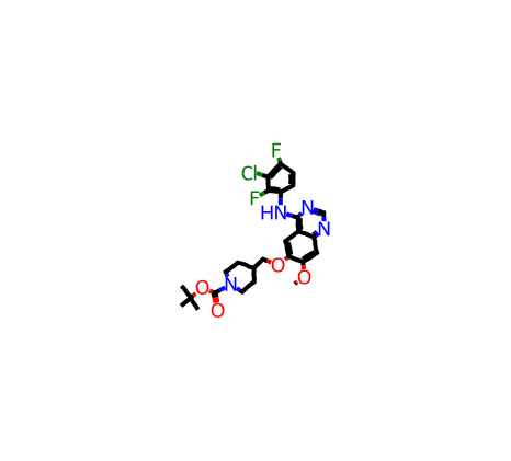 COc1cc2ncnc(Nc3ccc(F)c(Cl)c3F)c2cc1OCC1CCN(C(=O)OC(C)(C)C)CC1